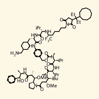 CC[C@H](C)[C@@H]([C@@H](CC(=O)N1CCC[C@H]1[C@H](OC)[C@@H](C)C(=O)N[C@H](C)[C@@H](O)c1ccccc1)OC)N(C)C(=O)[C@@H](NC(=O)[C@H](C(C)C)N(C)C(=O)OCc1ccc(NC(=O)[C@H](CC2CCC(CN)CC2)NC(=O)[C@@H](N[C@@H](CCCCCN2C(=O)CC(C(CC)(CC)C3CCCCCCCC3)C2=O)C(F)(F)F)C(C)C)cc1)C(C)C